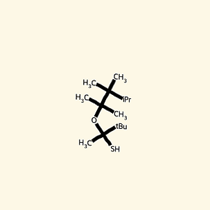 CC(C)C(C)(C)C(C)(C)OC(C)(S)C(C)(C)C